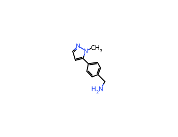 Cn1nccc1-c1ccc(CN)cc1